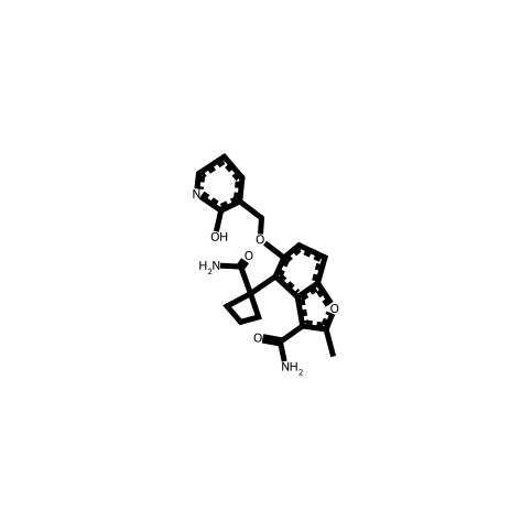 Cc1oc2ccc(OCc3cccnc3O)c(C3(C(N)=O)CCC3)c2c1C(N)=O